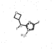 Cn1cc(F)nc1[C@@H](F)C1COC1